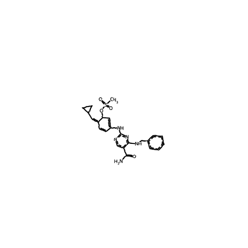 CS(=O)(=O)OC1C=C(Nc2ncc(C(N)=O)c(NCc3ccccc3)n2)C=CC1=CC1CC1